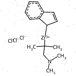 CN(C)C[C](C)(C)[Zr+3][CH]1C=Cc2ccccc21.[Cl-].[Cl-].[Cl-]